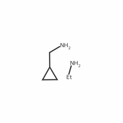 CCN.NCC1CC1